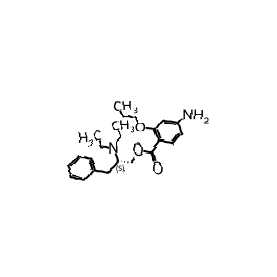 CCCOc1cc(N)ccc1C(=O)OC[C@H](Cc1ccccc1)N(CC)CC